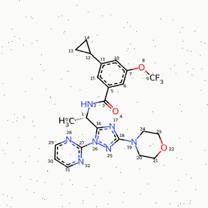 C[C@H](NC(=O)c1cc(OC(F)(F)F)cc(C2CC2)c1)c1nc(N2CCOCC2)nn1-c1ncccn1